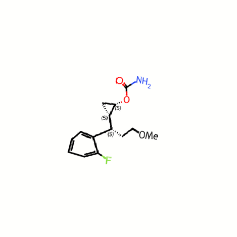 COCC[C@H](c1ccccc1F)[C@@H]1C[C@@H]1OC(N)=O